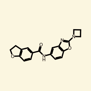 O=C(Nc1ccc2oc(N3CCC3)nc2c1)c1ccc2c(c1)CCO2